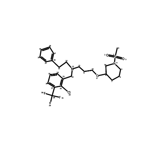 CS(=O)(=O)N1CCCC(OCCCN(CCc2ccccc2)Cc2cccc(C(F)(F)F)c2Cl)C1